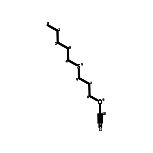 CCCCCSCCCOC#N